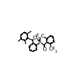 Cc1ccc(C)c(C(=O)c2ccccc2[P](=O)C(=O)c2c(C(F)(F)F)cccc2C(F)(F)F)c1C